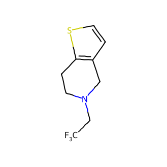 FC(F)(F)CN1CCc2sccc2C1